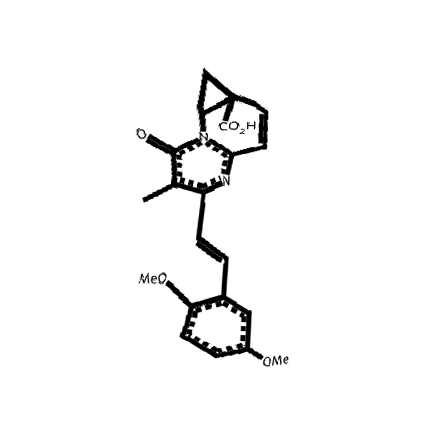 COc1ccc(OC)c(/C=C/c2nc3n(c(=O)c2C)C2CC2(C(=O)O)C=C3)c1